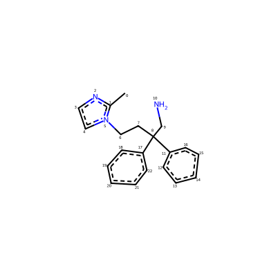 Cc1nccn1CCC(CN)(c1ccccc1)c1ccccc1